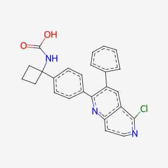 O=C(O)NC1(c2ccc(-c3nc4ccnc(Cl)c4cc3-c3ccccc3)cc2)CCC1